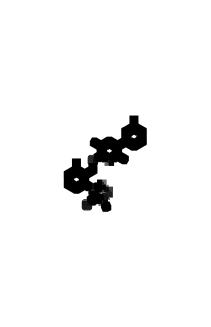 Cc1cccc(-c2cc(C)c(OCc3c(C)cccc3-n3nnn(C)c3=O)nc2C)c1